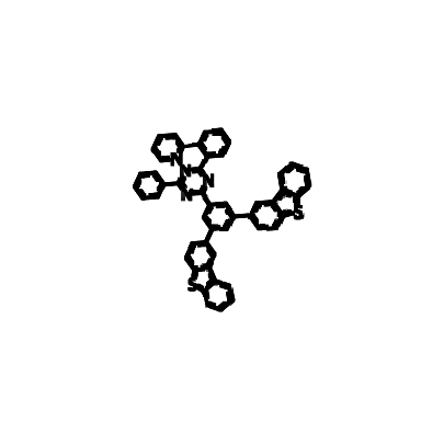 c1ccc(-c2nc(-c3cc(-c4ccc5sc6ccccc6c5c4)cc(-c4ccc5sc6ccccc6c5c4)c3)nc(-c3ccccc3-c3ccccn3)n2)cc1